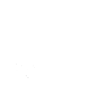 CCCCCCCCCCCCCCC1(C(=S)N(CC)CC)OC1C